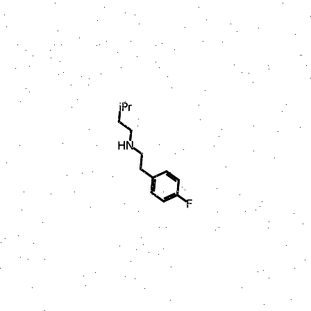 CC(C)CCNCCc1ccc(F)cc1